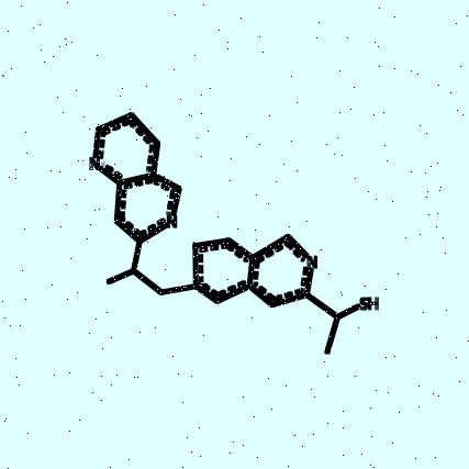 CC(S)c1cc2cc(CC(C)c3cc4ncccc4cn3)ccc2cn1